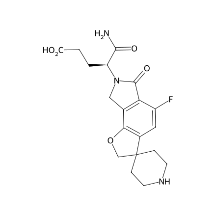 NC(=O)[C@H](CCC(=O)O)N1Cc2c3c(cc(F)c2C1=O)C1(CCNCC1)CO3